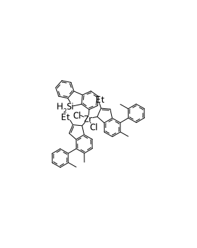 CCC1=Cc2c(ccc(C)c2-c2ccccc2C)[CH]1[Zr]([Cl])([Cl])([c]1cccc2c1[SiH2]c1ccccc1-2)[CH]1C(CC)=Cc2c1ccc(C)c2-c1ccccc1C